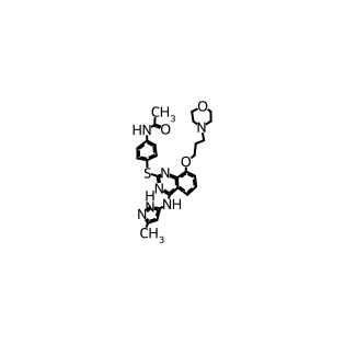 CC(=O)Nc1ccc(Sc2nc(Nc3cc(C)n[nH]3)c3cccc(OCCCN4CCOCC4)c3n2)cc1